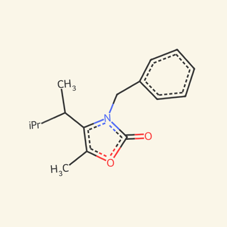 Cc1oc(=O)n(Cc2ccccc2)c1C(C)C(C)C